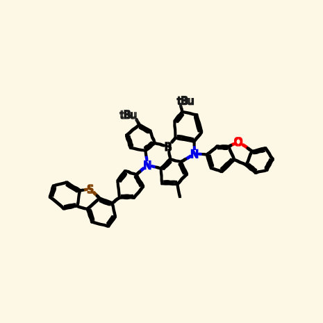 Cc1cc2c3c(c1)N(c1ccc4c(c1)oc1ccccc14)c1ccc(C(C)(C)C)cc1B3c1cc(C(C)(C)C)ccc1N2c1ccc(-c2cccc3c2sc2ccccc23)cc1